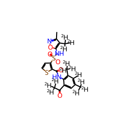 [2H]c1c(C([2H])([2H])[2H])cc(C(=O)C([2H])([2H])[2H])c(NC(=O)c2sccc2S(=O)(=O)Nc2onc(C)c2C([2H])([2H])[2H])c1C([2H])([2H])[2H]